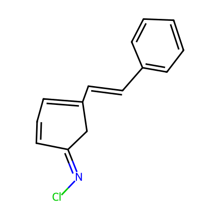 ClN=C1C=CC=C(C=Cc2ccccc2)C1